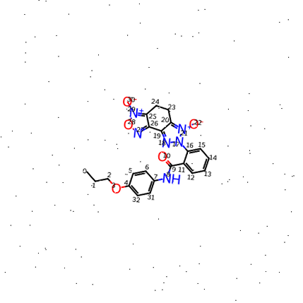 CCCOc1ccc(NC(=O)c2ccccc2-n2nc3c([n+]2[O-])CCc2c-3no[n+]2[O-])cc1